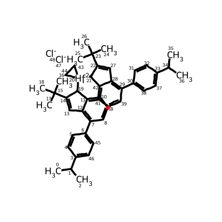 CC(C)c1ccc(-c2cccc3c2C=C(C(C)(C)C)[CH]3[Hf+2]2([CH]3C(C(C)(C)C)=Cc4c(-c5ccc(C(C)C)cc5)cccc43)[CH2][CH2]2)cc1.[Cl-].[Cl-]